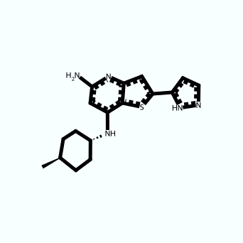 C[C@H]1CC[C@H](Nc2cc(N)nc3cc(-c4ccn[nH]4)sc23)CC1